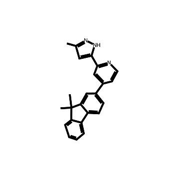 Cc1cc(-c2cc(-c3ccc4c(c3)C(C)(C)c3ccccc3-4)ccn2)[nH]n1